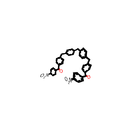 O=C(c1ccc(Cc2ccc(Cc3ccc(Cc4ccc(C(=O)c5ccc([N+](=O)[O-])cc5)cc4)cc3)cc2)cc1)c1ccc([N+](=O)[O-])cc1